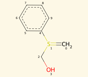 C=S(CO)c1ccccc1